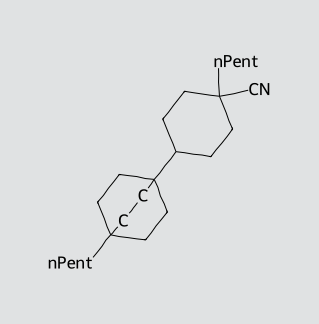 CCCCCC1(C#N)CCC(C23CCC(CCCCC)(CC2)CC3)CC1